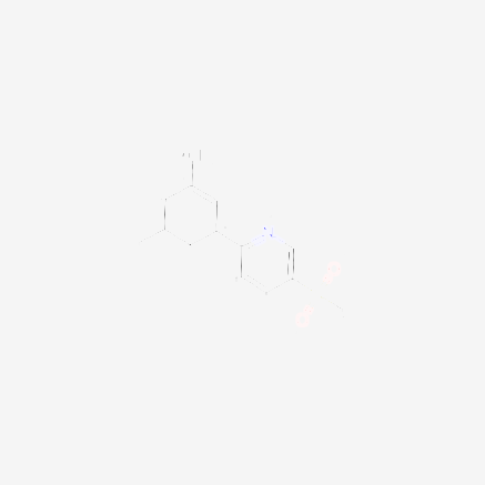 CC1CC(C(F)(F)F)=CC(c2ccc(S(C)(=O)=O)cn2)C1